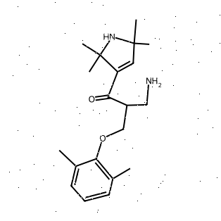 Cc1cccc(C)c1OCC(CN)C(=O)C1=CC(C)(C)NC1(C)C